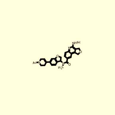 CC(=O)Nc1nc2ccc(C(=O)N(C)C3COc4cc(C5=CCN(C(C)=O)CC5)ccc43)cc2c2c1COC2